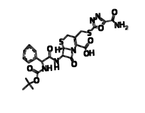 CC(C)(C)OC(=O)NC(C(=O)NC1C(=O)N2C(C(=O)O)=C(CSc3nnc(C(N)=O)o3)CS[C@@H]12)c1ccccc1